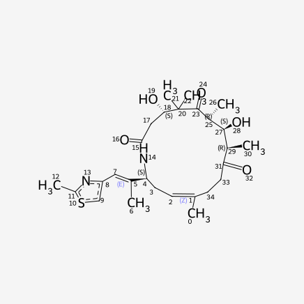 C/C1=C/C[C@@H](/C(C)=C/c2csc(C)n2)NC(=O)C[C@H](O)C(C)(C)C(=O)[C@H](C)[C@@H](O)[C@@H](C)C(=O)CC1